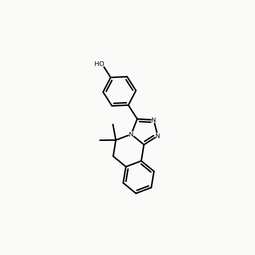 CC1(C)Cc2ccccc2-c2nnc(-c3ccc(O)cc3)n21